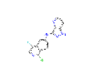 Fc1cnc(Cl)c2ccc(Nc3n[nH]c4cccnc34)cc12